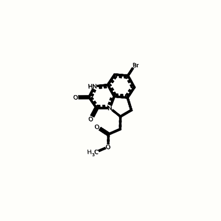 COC(=O)CC1Cc2cc(Br)cc3[nH]c(=O)c(=O)n1c23